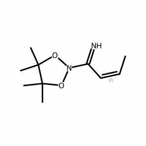 C/C=C\C(=N)N1OC(C)(C)C(C)(C)O1